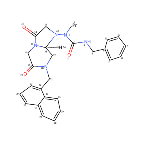 CC(C)N(C(=O)NCc1ccccc1)N1CC(=O)N2CC(=O)N(Cc3cccc4ccccc34)C[C@@H]21